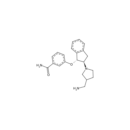 NCC1CCN([C@@H]2Cc3ccccc3[C@H]2Oc2cccc(C(N)=O)c2)C1